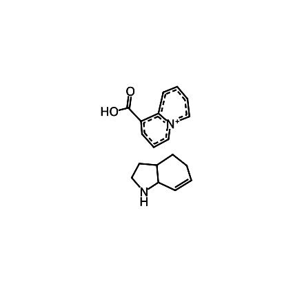 C1=CC2NCCC2CC1.O=C(O)c1ccc[n+]2ccccc12